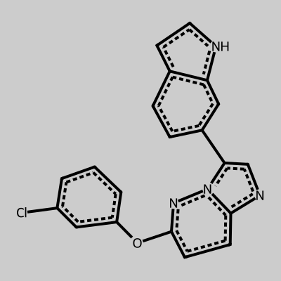 Clc1cccc(Oc2ccc3ncc(-c4ccc5cc[nH]c5c4)n3n2)c1